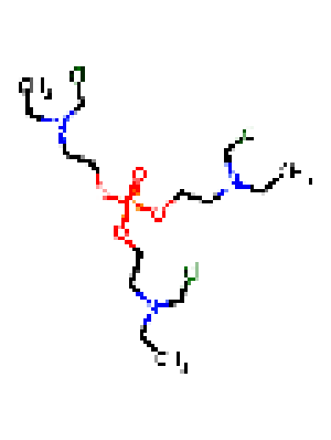 CCN(CCl)CCOP(=O)(OCCN(CC)CCl)OCCN(CC)CCl